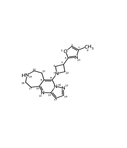 Cc1coc(C2CN(c3c4c(nc5ccnn35)CCNCC4)C2)n1